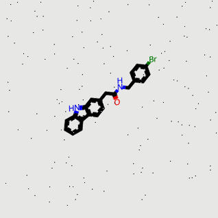 O=C(Cc1ccc2c(c1)[nH]c1ccccc12)NCc1ccc(Br)cc1